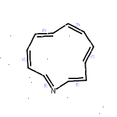 C1=C\C=C\C=C\N=C\C=C/C=C/1